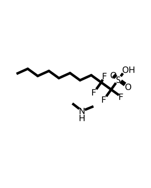 CCCCCCCCC(F)(F)C(F)(F)S(=O)(=O)O.CNC